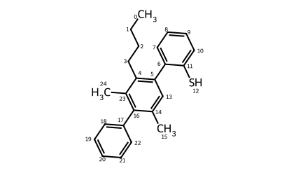 CCCCc1c(-c2ccccc2S)cc(C)c(-c2ccccc2)c1C